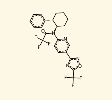 O=C(N(c1ccc(-c2noc(C(F)(F)F)n2)cn1)[C@@H]1CCCC[C@H]1c1ccccc1)C(F)(F)F